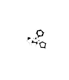 Cc1nnc(C(F)([C@H]2CCC(=O)C2)S(=O)(=O)c2ccccc2)o1